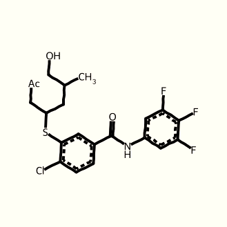 CC(=O)CC(CC(C)CO)Sc1cc(C(=O)Nc2cc(F)c(F)c(F)c2)ccc1Cl